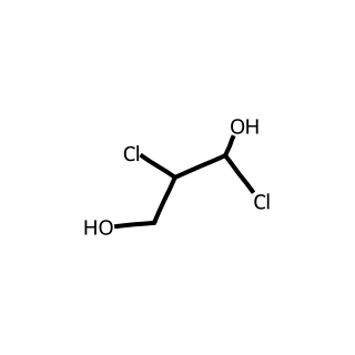 OCC(Cl)C(O)Cl